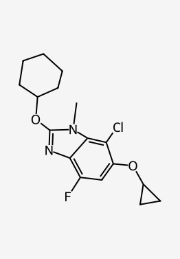 Cn1c(OC2CCCCC2)nc2c(F)cc(OC3CC3)c(Cl)c21